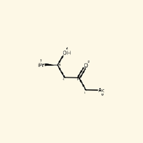 CC(=O)CC(=O)C[C@H](O)C(C)C